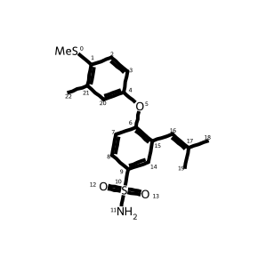 CSc1ccc(Oc2ccc(S(N)(=O)=O)cc2C=C(C)C)cc1C